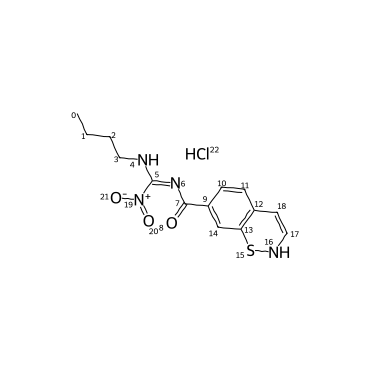 CCCCNC(=NC(=O)c1ccc2c(c1)SNC=C2)[N+](=O)[O-].Cl